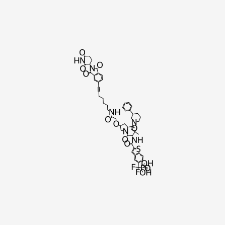 CC(C)(C)[C@H](NC(=O)c1cc2cc(C(F)(F)P(=O)(O)O)ccc2s1)C(=O)N1C[C@@H](OCC(=O)NCCCCCC#Cc2ccc3c(c2)C(=O)N(C2CCC(=O)NC2=O)C3=O)C[C@H]1C(=O)N1CCCC(c2ccccc2)C1